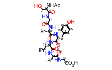 CC(=O)N[C@H](CO)C(=O)NCC(=O)N[C@@H](C(=O)N[C@H](Cc1ccc(O)cc1)C(=O)N[C@H](CC(C)C)C(=O)N[C@@H](C(=O)NCC(=O)O)C(C)C)C(C)C